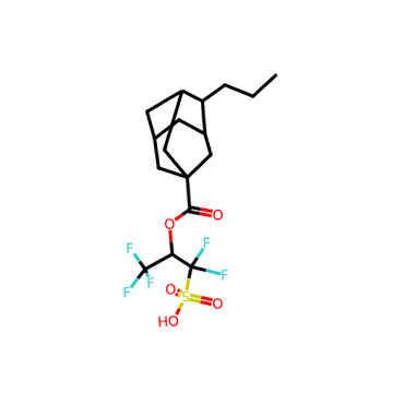 CCCC1C2CC3CC1CC(C(=O)OC(C(F)(F)F)C(F)(F)S(=O)(=O)O)(C3)C2